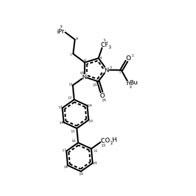 CCCCC(=O)n1c(C(F)(F)F)c(CCC(C)C)n(Cc2ccc(-c3ccccc3C(=O)O)cc2)c1=O